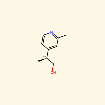 Cc1cc([C@H](C)CO)ccn1